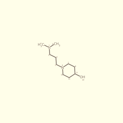 CN(C)CCCN1CCC(O)CC1